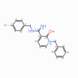 N=C(NCc1ccc(F)cc1)c1cccn(Cc2ccccc2)c1=O